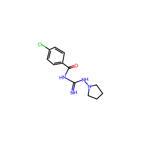 N=C(NC(=O)c1ccc(Cl)cc1)NN1CCCC1